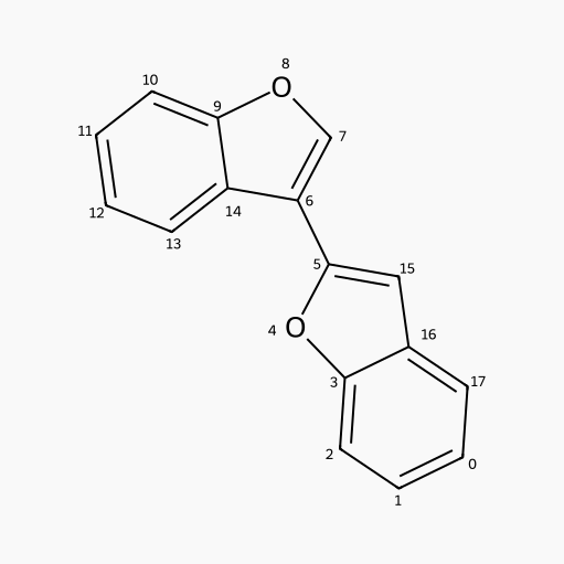 c1ccc2oc(-c3coc4ccccc34)cc2c1